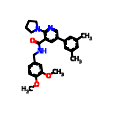 COc1ccc(CNC(=O)c2cc(-c3cc(C)cc(C)c3)cnc2N2CCCC2)cc1OC